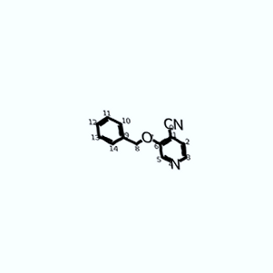 N#Cc1ccncc1OCc1ccccc1